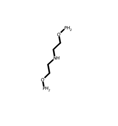 POCCNCCOP